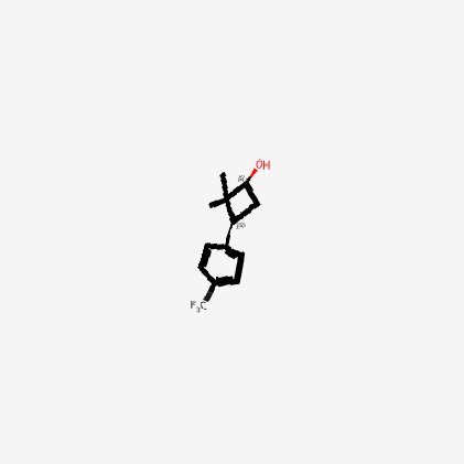 CC1(C)[C@@H](O)C[C@H]1c1ccc(C(F)(F)F)cc1